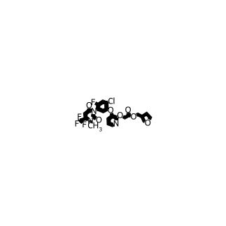 Cn1c(C(F)(F)F)cc(=O)n(-c2cc(Oc3cccnc3OCC(=O)OCC3CCOC3)c(Cl)cc2F)c1=O